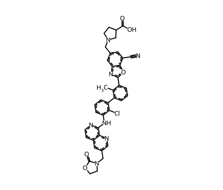 Cc1c(-c2nc3cc(CN4CCC(C(=O)O)C4)cc(C#N)c3o2)cccc1-c1cccc(Nc2nccc3cc(CN4CCOC4=O)cnc23)c1Cl